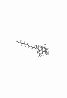 CCCCCCCCCCCCCC(=O)c1c(O)c(C)c(C)c(O)c1CCC